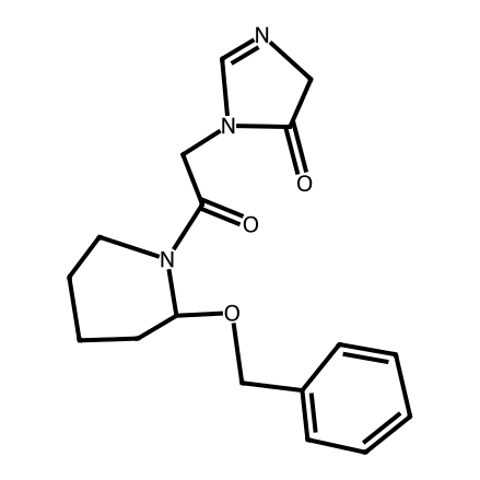 O=C1CN=CN1CC(=O)N1CCCCC1OCc1ccccc1